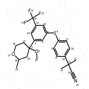 COC1(c2cc(Sc3ccc(C(C)(C)C#N)cc3)cc(C(F)(F)F)c2)CCOC(C)C1